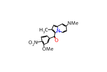 CNc1ccn2c(C(=O)c3ccc([N+](=O)[O-])c(OC)c3)c(C)cc2c1